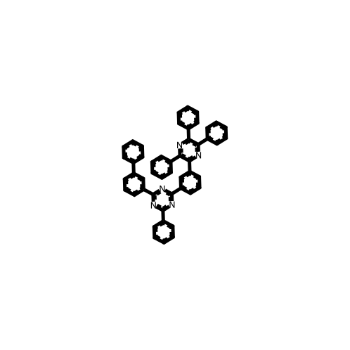 c1ccc(-c2cccc(-c3nc(-c4ccccc4)nc(-c4cccc(-c5nc(-c6ccccc6)c(-c6ccccc6)nc5-c5ccccc5)c4)n3)c2)cc1